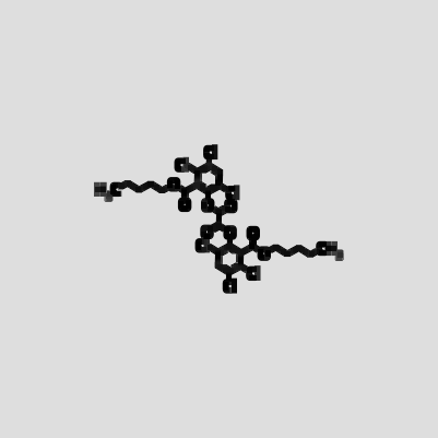 CCCCCOC(=O)c1c(Cl)c(Cl)cc(Cl)c1OC(=O)C(=O)Oc1c(Cl)cc(Cl)c(Cl)c1C(=O)OCCCCC